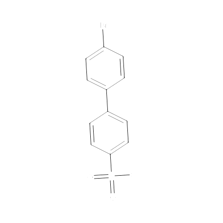 O=S(=O)(Cl)c1ccc(-c2ccc(Br)cc2)cc1